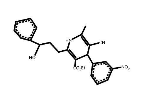 CCOC(=O)C1=C(CCC(O)c2ccccc2)NC(C)=C(C#N)C1c1cccc([N+](=O)[O-])c1